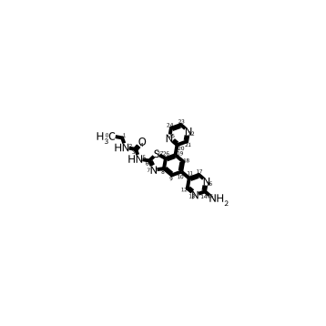 CCNC(=O)Nc1nc2cc(-c3cnc(N)nc3)cc(-c3cnccn3)c2s1